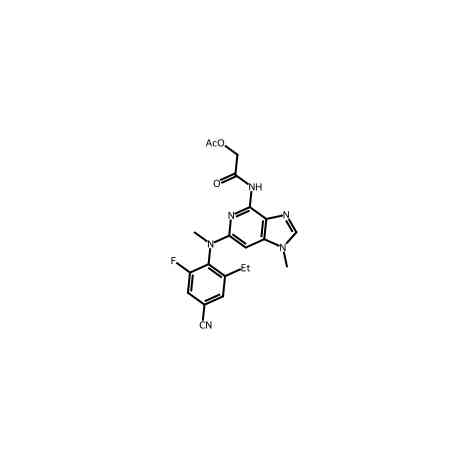 CCc1cc(C#N)cc(F)c1N(C)c1cc2c(ncn2C)c(NC(=O)COC(C)=O)n1